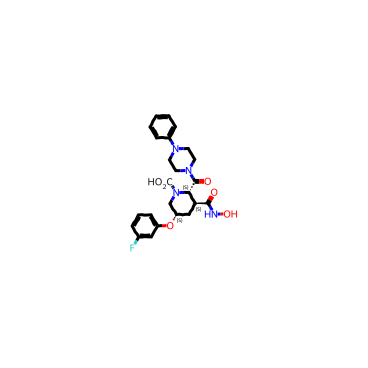 O=C(NO)[C@H]1C[C@H](Oc2cccc(F)c2)CN(C(=O)O)[C@@H]1C(=O)N1CCN(c2ccccc2)CC1